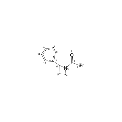 CC(C)C(=O)N1CCC1c1ccccc1